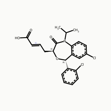 CC(C)N1C(=O)[C@H](C/C=C/C(=O)O)O[C@@H](c2ccccc2Cl)c2cc(Cl)ccc21